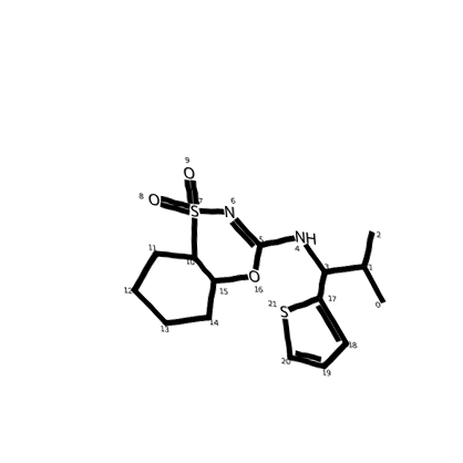 CC(C)C(NC1=NS(=O)(=O)C2CCCCC2O1)c1cccs1